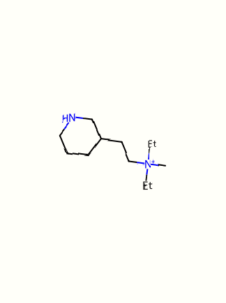 CC[N+](C)(CC)CCC1CCCNC1